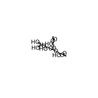 C=CC(=O)OCC(O)CCOCC(COCCC(O)COCN(CCO)CCO)OCCC(O)COC(=O)C=C